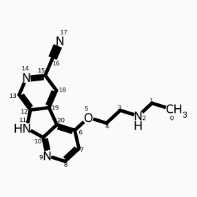 CCNCCOc1ccnc2[nH]c3cnc(C#N)cc3c12